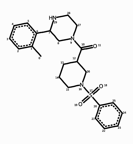 Cc1ccccc1C1CN(C(=O)C2CCCN(S(=O)(=O)c3ccccc3)C2)CCN1